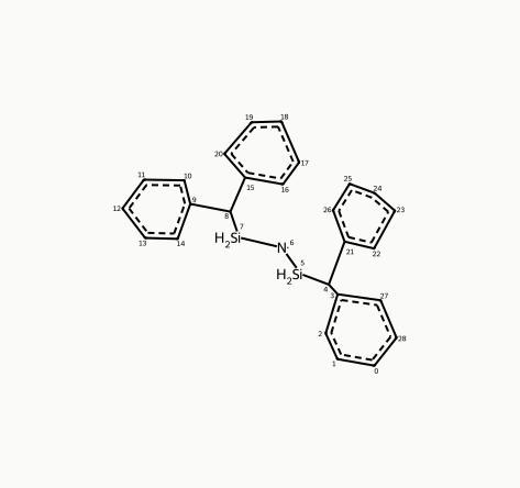 c1ccc(C([SiH2][N][SiH2]C(c2ccccc2)c2ccccc2)c2ccccc2)cc1